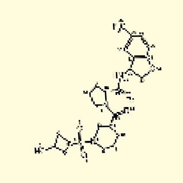 N#CC1CN(S(=O)(=O)N2CCC[C@H](C(=O)N3CCC[C@@H]3C(=O)NC3COc4ccc(C(F)(F)F)cc43)C2)C1